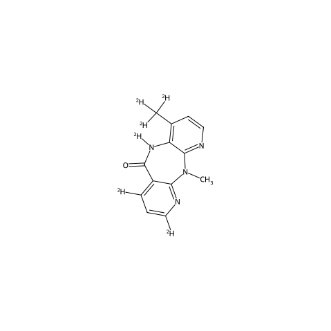 [2H]c1cc([2H])c2c(n1)N(C)c1nccc(C([2H])([2H])[2H])c1N([2H])C2=O